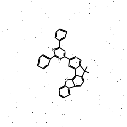 CC1(C)c2ccc(-c3nc(-c4ccccc4)nc(-c4ccccc4)n3)cc2-c2c1ccc1c2sc2ccccc21